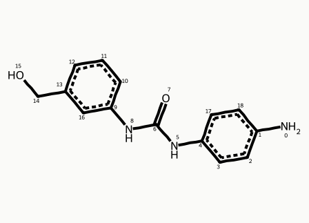 Nc1ccc(NC(=O)Nc2cccc(CO)c2)cc1